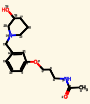 CC(=O)NCCCOc1cccc(CN2CCCC(O)C2)c1